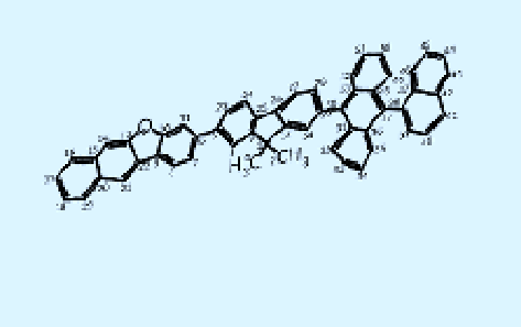 CC1(C)c2cc(-c3ccc4c(c3)oc3cc5ccccc5cc34)ccc2-c2ccc(-c3c4ccccc4c(-c4cccc5ccccc45)c4ccccc34)cc21